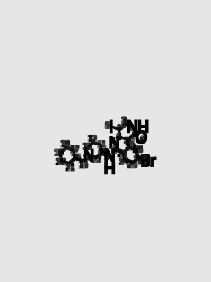 O=c1[nH]cc(I)c2nc(N[C@H]3CCCN(CC4CCCCC4)C3)c3ccc(Br)cc3c12